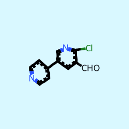 O=Cc1cc(-c2ccncc2)cnc1Cl